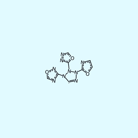 [C]1=NN(c2ncco2)N(c2nnco2)N1c1ncon1